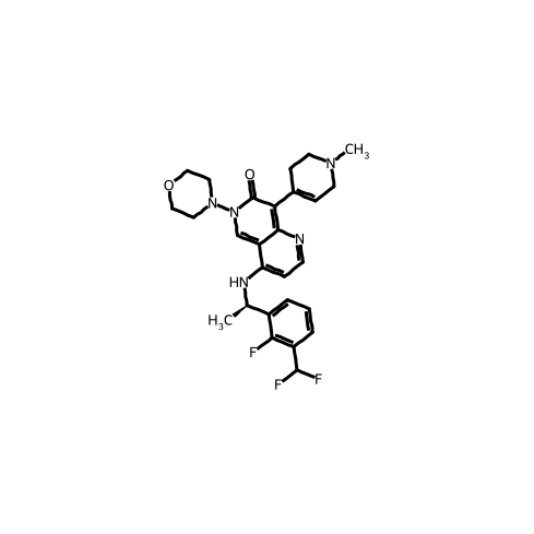 C[C@@H](Nc1ccnc2c(C3=CCN(C)CC3)c(=O)n(N3CCOCC3)cc12)c1cccc(C(F)F)c1F